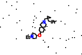 CCN1CCC(OC2CCC3(CC2)CCN(CC2(CC(C)C)CC2)CC3)CC1